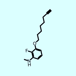 C#CCCCCCCOc1cccc(NC)c1F